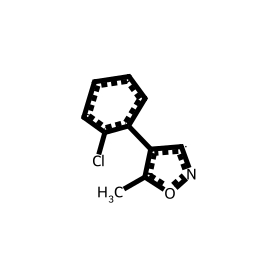 Cc1on[c]c1-c1ccccc1Cl